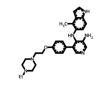 CCN1CCN(CCOc2ccc(-c3cncc(N)c3Nc3ccc4[nH]ccc4c3C)cc2)CC1